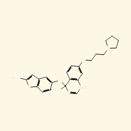 COC1(Oc2ccc3[nH]c(C)cc3c2)N=CNc2cc(OC[C@H](O)CN3CCCC3)ccc21